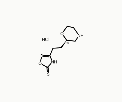 Cl.S=c1[nH]c(CC[C@@H]2CNCCO2)no1